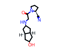 N#C[C@@H]1CCCN1C(=O)CN[C@H]1C[C@H]2C[C@@H](O)C[C@H]2C1